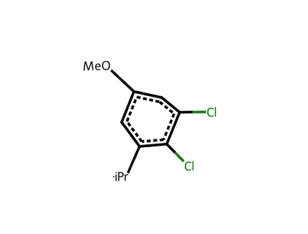 COc1cc(Cl)c(Cl)c([C](C)C)c1